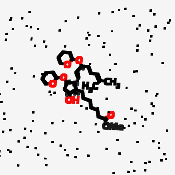 COC(=O)CCCCCC[C@@H]1[C@@H](C=C[C@H](CCC=C(C)C)OC2CCCCO2)[C@H](OC2CCCCO2)C[C@@H]1O